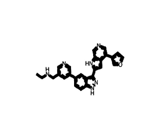 CCNCc1cncc(-c2ccc3[nH]nc(-c4cc5c(-c6ccoc6)cncc5[nH]4)c3c2)c1